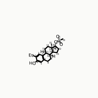 CCc1cc2c(cc1O)CC[C@@H]1[C@@H]2CC[C@]2(C)[C@H](OS(C)(=O)=O)CC[C@@H]12